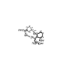 NC1=NS(O)(O)Nc2cccc(OCC3CCCN([C@H](C=O)C4CC4)C3)c21